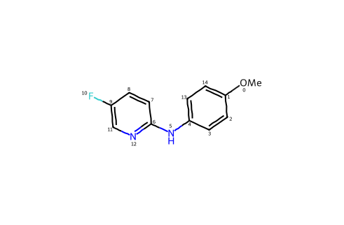 COc1ccc(Nc2ccc(F)cn2)cc1